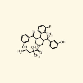 Cc1c(F)cccc1C1C(C(=O)c2cccc(O)c2)CN(C(=O)C(C)(C)CCN)CC1C(=O)c1cccc(O)c1